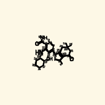 Cc1cn(-c2cnc(C(N)=O)c(N[C@H]3CCCC[C@@H]3O)c2)c2c1C(=O)CC(C)(C)C2